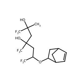 CC(O)(CC(O)(CC(OC1CC2C=CC1C2)C(F)(F)F)C(F)(F)F)C(F)(F)F